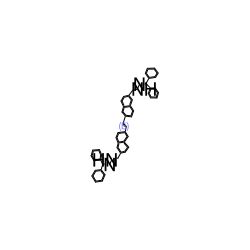 C(=C\c1ccc2cc(CNN=C(c3ccccc3)c3ccccc3)ccc2c1)/c1ccc2cc(CNN=C(c3ccccc3)c3ccccc3)ccc2c1